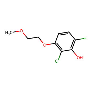 COCCOc1ccc(F)c(O)c1Cl